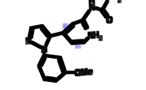 C=C(/C=C(\C=C/N)c1ccnn1-c1cccc(OC)c1)NC(N)=O